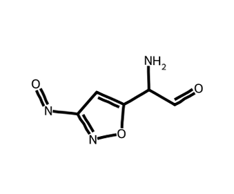 NC(C=O)c1cc(N=O)no1